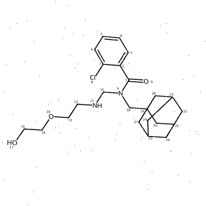 O=C(c1ccccc1Cl)N(CNCCOCCO)CC12CC3CC(CC(C3)C1)C2